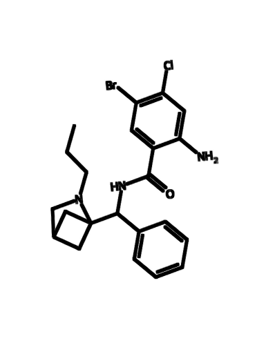 CCCN1CC2CC1(C(NC(=O)c1cc(Br)c(Cl)cc1N)c1ccccc1)C2